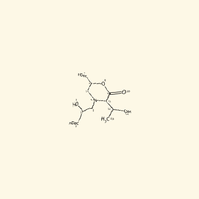 CCCCCCCCCCC(O)CN1CC(CCCCCCCCCC)OC(=O)C1C(C)O